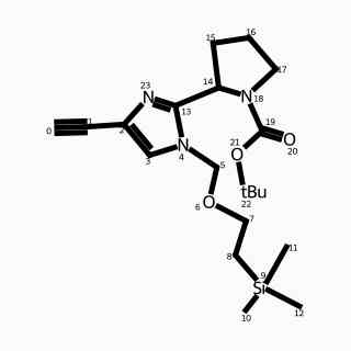 C#Cc1cn(COCC[Si](C)(C)C)c(C2CCCN2C(=O)OC(C)(C)C)n1